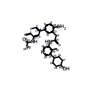 C=C/C(=C\C(=C/C)c1ccc(N)c(CC(=C)Nc2cncc(C3CCC(O)CC3)c2C)c1)NC(=O)C(C)C